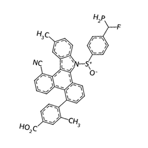 Cc1ccc2c(c1)c1c3c(C#N)cccc3c3c(-c4ccc(C(=O)O)cc4C)cccc3c1n2[S+]([O-])c1ccc(C(F)P)cc1